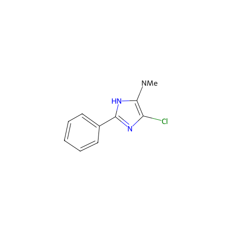 CNc1[nH]c(-c2ccccc2)nc1Cl